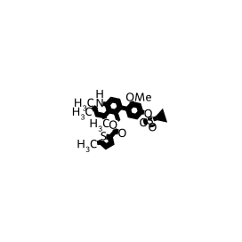 COc1cc(OS(=O)(=O)C2CC2)ccc1-c1ccc2c(c1COC(=O)c1ccc(C)s1)C(C)=CC(C)(C)N2